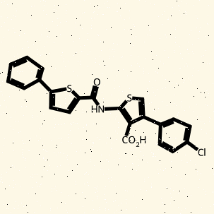 O=C(Nc1scc(-c2ccc(Cl)cc2)c1C(=O)O)c1ccc(-c2ccccc2)s1